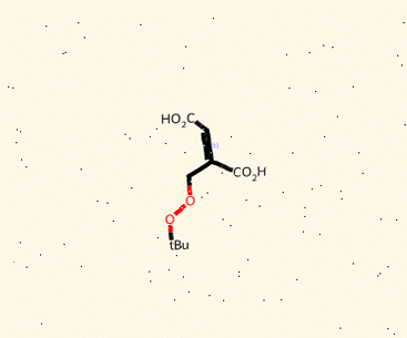 CC(C)(C)OOC/C(=C\C(=O)O)C(=O)O